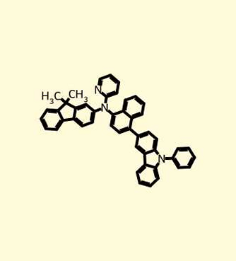 CC1(C)c2ccccc2-c2ccc(N(c3ccccn3)c3ccc(-c4ccc5c(c4)c4ccccc4n5-c4ccccc4)c4ccccc34)cc21